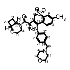 Cc1ccc2c(c1)S(=O)(=O)Cc1c(C(=O)N3CCO[C@@H]4CC[C@@H]43)nn(-c3ccc(CN4CCOCC4)cc3)c1-2